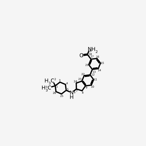 CC1(C)CCC(NC2Cc3ccc(-c4cccc(C(N)=O)c4)cc3C2)CC1